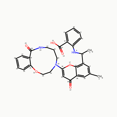 Cc1cc(C(C)Nc2ccccc2C(=O)O)c2oc(N3CCCNC(=O)c4ccccc4OCC3)cc(=O)c2c1